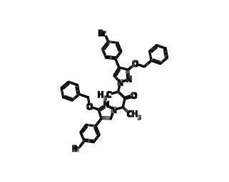 CC(C(=O)C(C)n1cc(-c2ccc(Br)cc2)c(OCc2ccccc2)n1)n1cc(-c2ccc(Br)cc2)c(OCc2ccccc2)n1